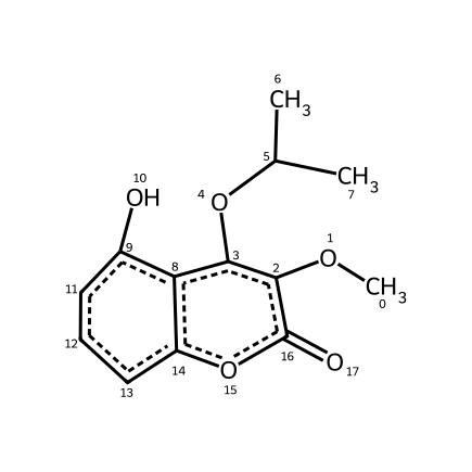 COc1c(OC(C)C)c2c(O)cccc2oc1=O